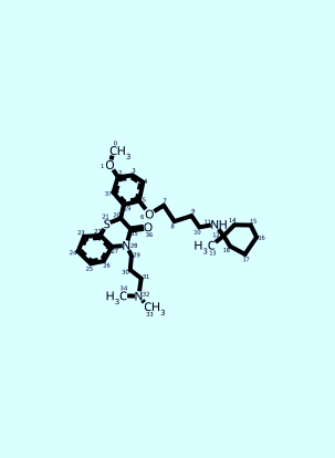 COc1ccc(OCCCCNC2(C)CCCCC2)c(C2Sc3ccccc3N(CCCN(C)C)C2=O)c1